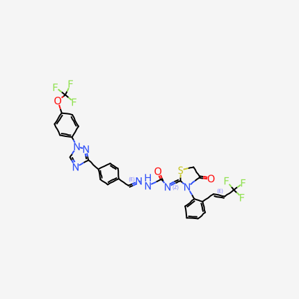 O=C(/N=C1\SCC(=O)N1c1ccccc1/C=C/C(F)(F)F)N/N=C/c1ccc(-c2ncn(-c3ccc(OC(F)(F)F)cc3)n2)cc1